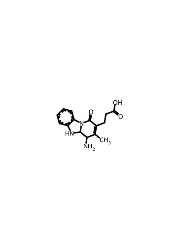 CC1=C(CCC(=O)O)C(=O)N2c3ccccc3NC2C1N